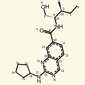 CC[C@H](C)[C@@H](CO)NC(=O)c1ccc2cnc(NC3CCCC3)nc2c1